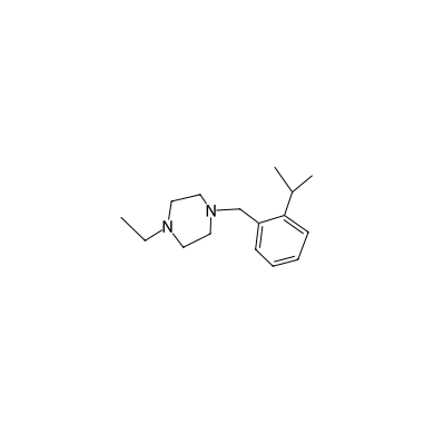 CCN1CCN(Cc2ccccc2C(C)C)CC1